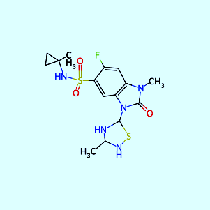 CC1NSC(n2c(=O)n(C)c3cc(F)c(S(=O)(=O)NC4(C)CC4)cc32)N1